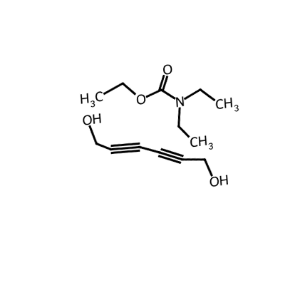 CCOC(=O)N(CC)CC.OCC#CC#CCO